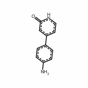 Nc1ccc(-c2cc[nH]c(=O)c2)cc1